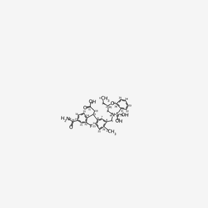 CC[C@@H]1CN(Cc2cc(C(CC(=O)O)c3ccc(C(N)=O)cc3F)ccc2C)S(O)(O)c2ccccc2O1